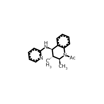 CC(=O)N1c2ccccc2[C@H](Nc2ccccn2)[C@@H](C)[C@@H]1C